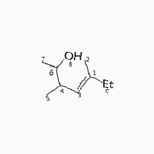 CCC(C)=CC(C)C(C)O